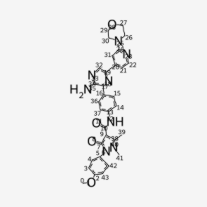 COc1ccc(-n2c(=O)c(C(=O)Nc3ccc(-c4nc(-c5ccnc(N6CCOCC6)c5)cnc4N)cc3)c(C)n2C)cc1